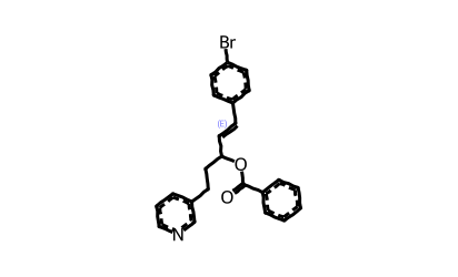 O=C(OC(/C=C/c1ccc(Br)cc1)CCc1cccnc1)c1ccccc1